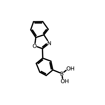 OB(O)c1cccc(-c2nc3ccccc3o2)c1